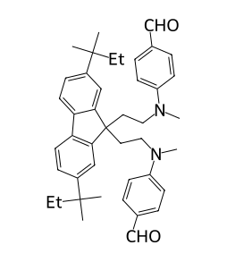 CCC(C)(C)c1ccc2c(c1)C(CCN(C)c1ccc(C=O)cc1)(CCN(C)c1ccc(C=O)cc1)c1cc(C(C)(C)CC)ccc1-2